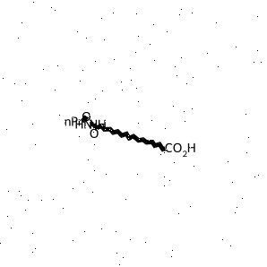 CCCC(=O)NNC(=O)CCCCCCCCCCCCCCCCC(=O)O